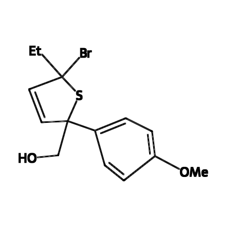 CCC1(Br)C=CC(CO)(c2ccc(OC)cc2)S1